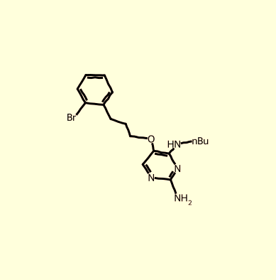 CCCCNc1nc(N)ncc1OCCCc1ccccc1Br